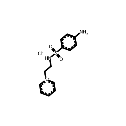 Nc1ccc(S(=O)(=O)NCC[n+]2ccccc2)cc1.[Cl-]